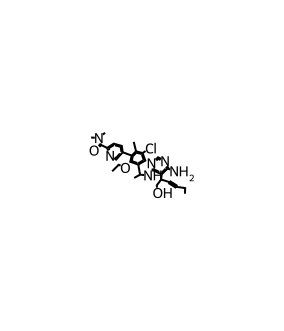 CCC#CC(CO)c1c(N)ncnc1NC(C)c1cc(Cl)c(C)c(-c2ccc(C(=O)N(C)C)nc2)c1OCC